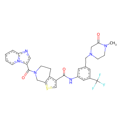 CN1CCN(Cc2cc(NC(=O)c3csc4c3CCN(C(=O)c3cnc5ccccn35)C4)cc(C(F)(F)F)c2)CC1=O